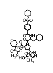 CC(C)(O)c1cnnn1[C@H]1C[C@@H](C(=O)NC2(C(=O)C(N)=O)CCOCC2)N(C(=O)C(CC2CCCCC2)NC(=O)c2ccc(S(=O)(=O)N3CCCCC3)cc2)C1